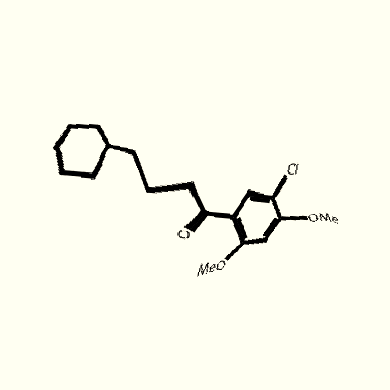 COc1cc(OC)c(C(=O)CCCC2CCCCC2)cc1Cl